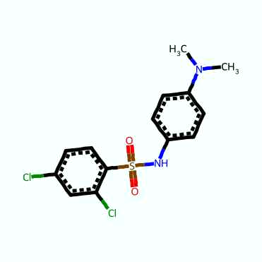 CN(C)c1ccc(NS(=O)(=O)c2ccc(Cl)cc2Cl)cc1